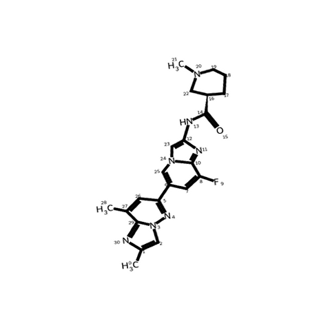 Cc1cn2nc(-c3cc(F)c4nc(NC(=O)[C@@H]5CCCN(C)C5)cn4c3)cc(C)c2n1